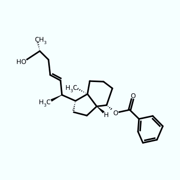 C[C@@H](O)C/C=C/[C@H](C)[C@H]1CC[C@H]2[C@@H](OC(=O)c3ccccc3)CCC[C@]12C